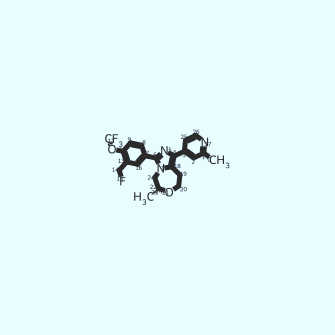 Cc1cc(-c2nc(-c3ccc(OC(F)(F)F)c(CF)c3)n3c2CCO[C@H](C)C3)ccn1